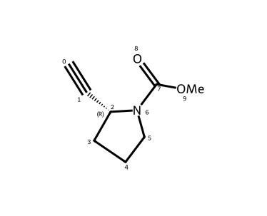 C#C[C@H]1CCCN1C(=O)OC